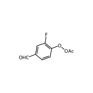 CC(=O)OOc1ccc(C=O)cc1F